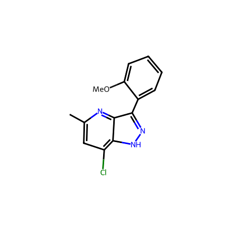 COc1ccccc1-c1n[nH]c2c(Cl)cc(C)nc12